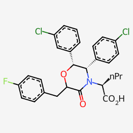 CCC[C@@H](C(=O)O)N1C(=O)C(Cc2ccc(F)cc2)O[C@H](c2cccc(Cl)c2)[C@@H]1c1ccc(Cl)cc1